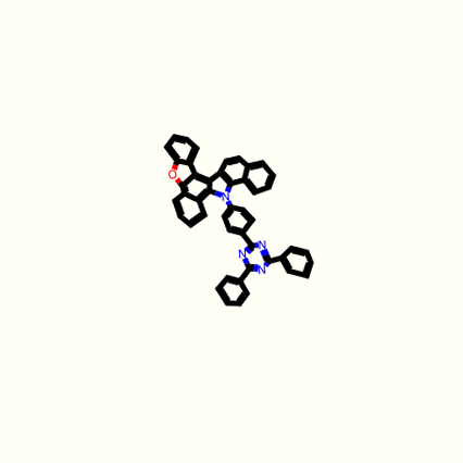 c1ccc(-c2nc(-c3ccccc3)nc(-c3ccc(-n4c5c6ccccc6ccc5c5c6c7ccccc7oc6c6ccccc6c54)cc3)n2)cc1